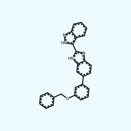 c1ccc(COc2cccc(-c3ccc4nc(-c5[nH]nc6ccccc56)[nH]c4c3)c2)cc1